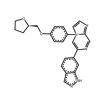 C1=C[N+]2(c3ccc(OC[C@H]4CCCO4)cc3)C=C(c3ccc4cn[nH]c4c3)N=CC2=N1